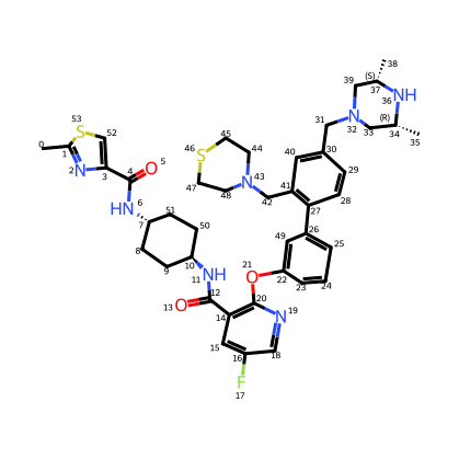 Cc1nc(C(=O)N[C@H]2CC[C@H](NC(=O)c3cc(F)cnc3Oc3cccc(-c4ccc(CN5C[C@@H](C)N[C@@H](C)C5)cc4CN4CCSCC4)c3)CC2)cs1